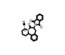 N#C[C@H]1CCCC2c3ccccc3CC(N3C(=O)c4ccccc4C3=O)C(=O)N21